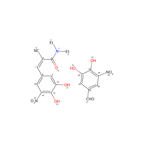 CCN(CC)C(=O)C(C#N)=Cc1cc(O)c(O)c([N+](=O)[O-])c1.O=Cc1cc(O)c(O)c([N+](=O)[O-])c1